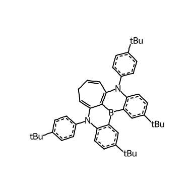 CC(C)(C)c1ccc(N2C3=CCC=CC4=C3B(c3cc(C(C)(C)C)ccc32)c2cc(C(C)(C)C)ccc2N4c2ccc(C(C)(C)C)cc2)cc1